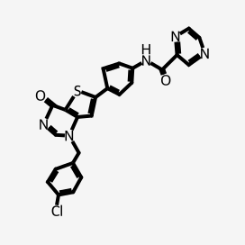 O=C(Nc1ccc(-c2cc3c(s2)c(=O)ncn3Cc2ccc(Cl)cc2)cc1)c1cnccn1